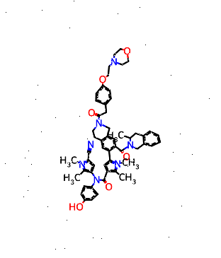 Cc1c(N(C(=O)c2cc(-c3cc4c(cc3C(=O)N3Cc5ccccc5CC3C)CN(C(=O)Cc3ccc(OCCN5CCOCC5)cc3)CC4)n(C)c2C)c2ccc(O)cc2)cc(C#N)n1C